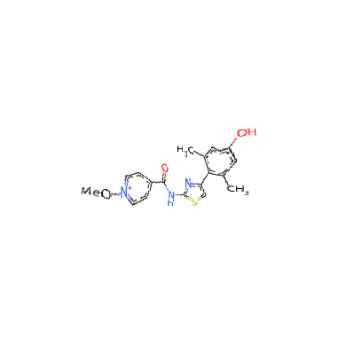 CO[n+]1ccc(C(=O)Nc2nc(-c3c(C)cc(O)cc3C)cs2)cc1